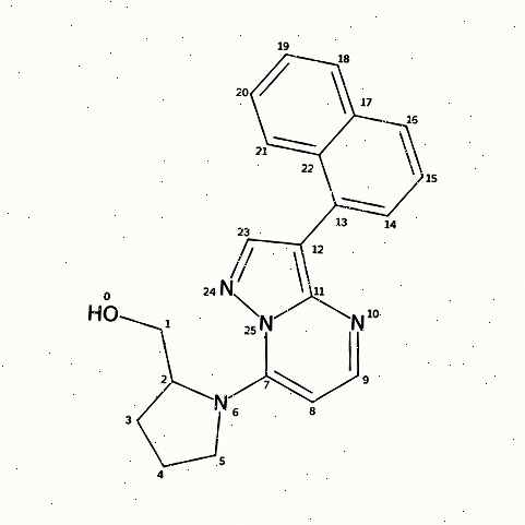 OCC1CCCN1c1ccnc2c(-c3cccc4ccccc34)cnn12